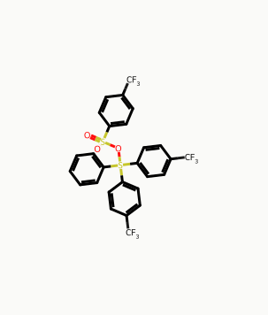 O=S(=O)(OS(c1ccccc1)(c1ccc(C(F)(F)F)cc1)c1ccc(C(F)(F)F)cc1)c1ccc(C(F)(F)F)cc1